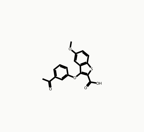 COc1ccc2sc(C(=O)O)c(Oc3cccc(C(C)=O)c3)c2c1